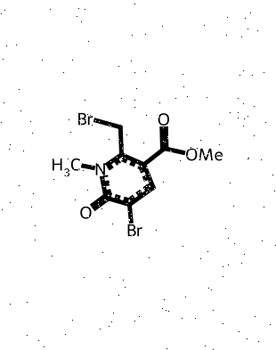 COC(=O)c1cc(Br)c(=O)n(C)c1CBr